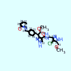 COCc1[nH]nc(CNC(=O)c2c[nH]nc2C(COC)c2ccc(Cn3ccccc3=O)cc2)c1Cl